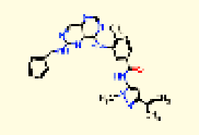 C=C(C)c1cc(NC(=O)c2ccc(C)c(Nc3ncnc4cnc(NCc5ccccc5)nc34)c2)n(C)n1